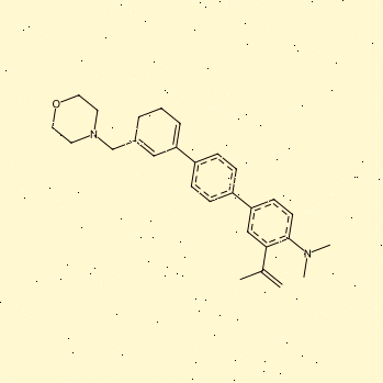 C=C(C)c1cc(-c2ccc(C3=CCCC(CN4CCOCC4)=C3)cc2)ccc1N(C)C